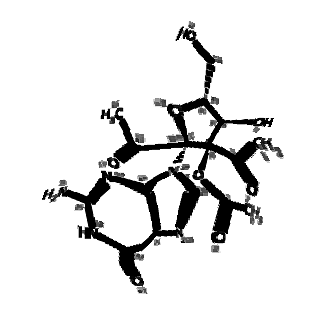 CC(=O)O[C@]1(C(C)=O)[C@H](O)[C@@H](CO)O[C@@]1(C(C)=O)n1cnc2c(=O)[nH]c(N)nc21